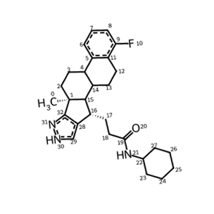 C[C@]12CCC3c4cccc(F)c4CCC3C1[C@H](CCC(=O)NC1CCCCC1)c1c[nH]nc12